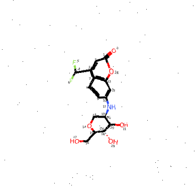 O=c1cc(C(F)F)c2ccc(N[C@@H]3COC(CO)[C@@H](O)C3O)cc2o1